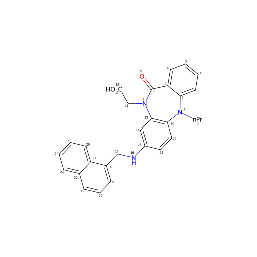 CCCN1c2ccccc2C(=O)N(CC(=O)O)c2cc(NCc3cccc4ccccc34)ccc21